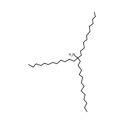 CCCCCCCCCCCCCC(N)(CCCCCCCCCCCC)CCCCCCCCCCCC